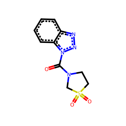 O=C(N1CCS(=O)(=O)C1)n1nnc2ccccc21